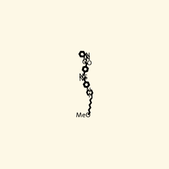 COCCCCCCCN1CCN(c2ccc(-c3nnc(-c4ccc(C(=O)On5nnc6ccccc65)cc4)s3)cc2)CC1